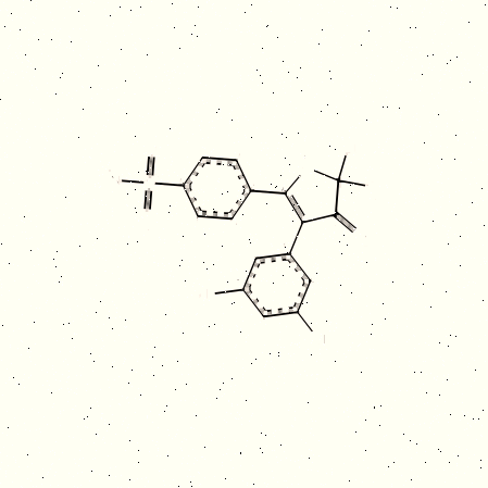 CCC1(C)OC(c2ccc(S(N)(=O)=O)cc2)=C(c2cc(F)cc(C(F)(F)F)c2)C1=O